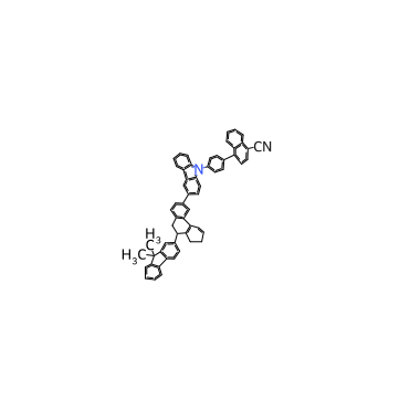 CC1(C)c2ccccc2-c2ccc(C3Cc4ccc(-c5ccc6c(c5)c5ccccc5n6-c5ccc(-c6ccc(C#N)c7ccccc67)cc5)cc4C4=C3CCC=C4)cc21